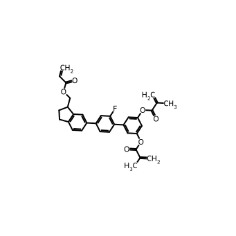 C=CC(=O)OCC1CCc2ccc(-c3ccc(-c4cc(OC(=O)C(=C)C)cc(OC(=O)C(=C)C)c4)c(F)c3)cc21